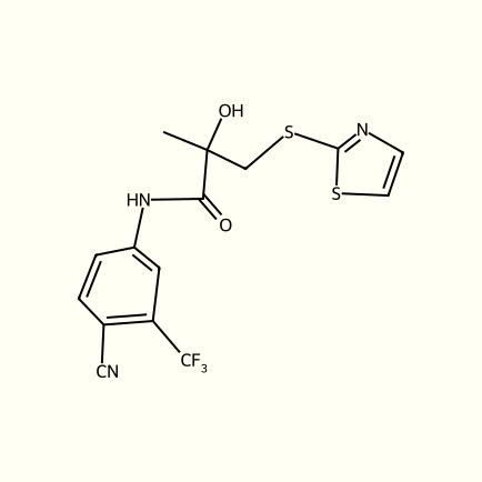 CC(O)(CSc1nccs1)C(=O)Nc1ccc(C#N)c(C(F)(F)F)c1